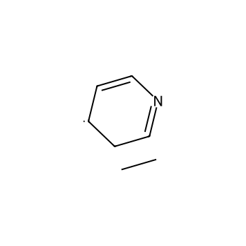 CC.[CH]1C=CN=CC1